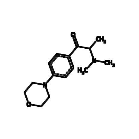 CC(C(=O)c1ccc(N2CCOCC2)cc1)N(C)C